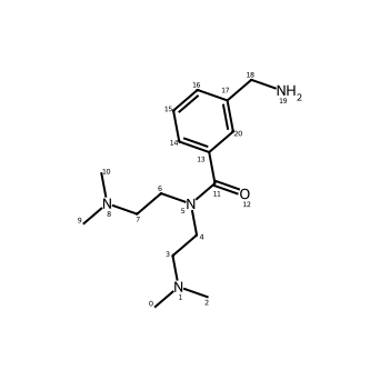 CN(C)CCN(CCN(C)C)C(=O)c1cccc(CN)c1